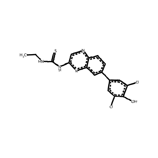 CCNC(=S)Nc1cnc2ccc(-c3cc(Cl)c(O)c(Cl)c3)cc2n1